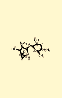 CNC1C(OC2OC(C)[C@@H](N)C[C@@H]2O)O[C@H]2C[C@@H]2C1O